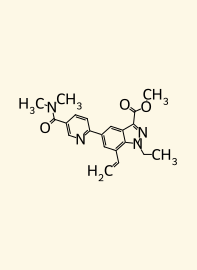 C=Cc1cc(-c2ccc(C(=O)N(C)C)cn2)cc2c(C(=O)OC)nn(CC)c12